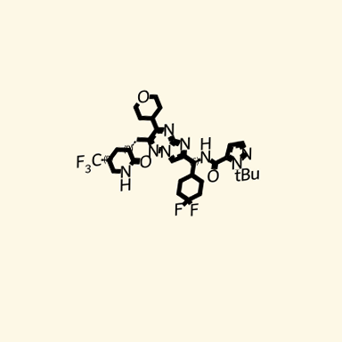 CC(C)(C)n1nccc1C(=O)N[C@H](c1cn2nc(C[C@H]3C[C@@H](C(F)(F)F)CNC3=O)c(C3CCOCC3)nc2n1)C1CCC(F)(F)CC1